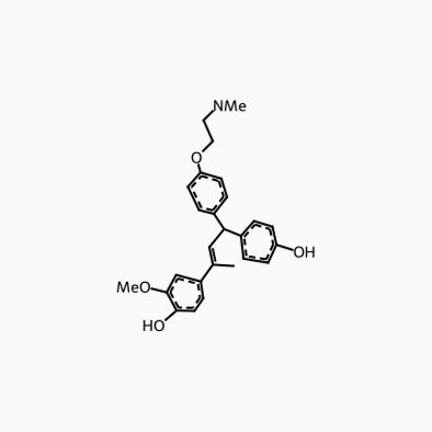 CNCCOc1ccc(C(C=C(C)c2ccc(O)c(OC)c2)c2ccc(O)cc2)cc1